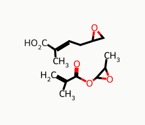 C=C(C)C(=O)OC1OC1C.CC(=CCC1CO1)C(=O)O